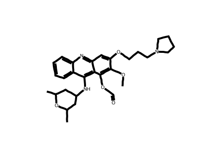 COc1c(OCCCN2CCCC2)cc2nc3ccccc3c(NC3CC(C)OC(C)C3)c2c1OC=O